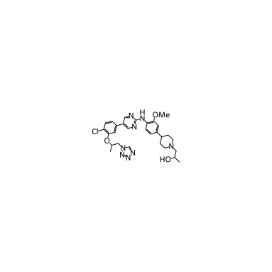 COc1cc(C2CCN(CC(C)O)CC2)ccc1Nc1ncc(-c2ccc(Cl)c(OC(C)Cn3cnnn3)c2)cn1